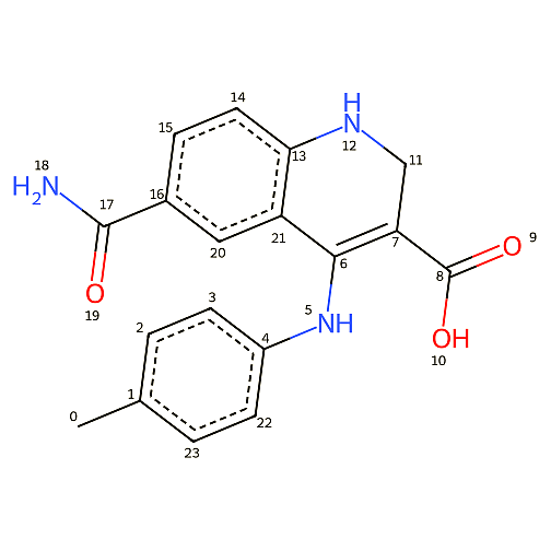 Cc1ccc(NC2=C(C(=O)O)CNc3ccc(C(N)=O)cc32)cc1